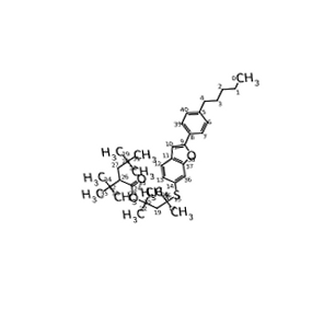 CCCCCc1ccc(-c2cc3ccc(SC(C)(C)CC(C)(C)OC(=O)C(CC(C)(C)C)C(C)(C)C)cc3o2)cc1